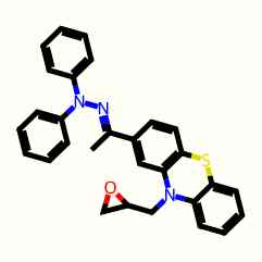 C/C(=N\N(c1ccccc1)c1ccccc1)c1ccc2c(c1)N(CC1CO1)c1ccccc1S2